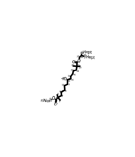 CCCCCCCCCOC(=O)C(C)(C)CCCCCC(O)CCCCCC(C)(C)C(=O)OCC(CCCCCCC)CCCCCCC